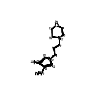 CCCc1nn(CCCN2CCOCC2)cc1I